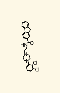 O=C(NCCN1CCN(c2cccc(Cl)c2Cl)CC1)c1ccc2c(c1)Cc1ccccc1-2